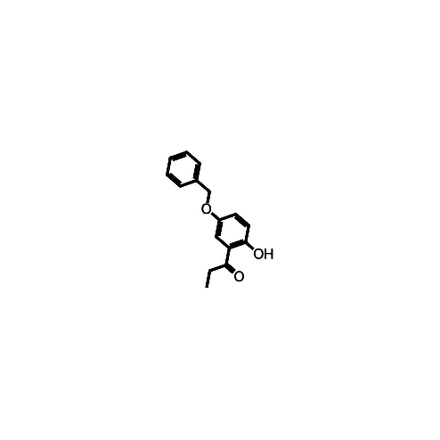 CCC(=O)c1cc(OCc2ccccc2)ccc1O